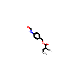 CCC(C)C(=O)OCc1ccc(NC=O)cc1